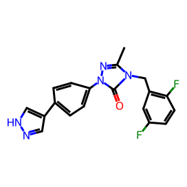 Cc1nn(-c2ccc(-c3cn[nH]c3)cc2)c(=O)n1Cc1cc(F)ccc1F